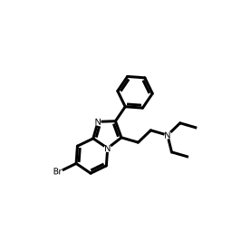 CCN(CC)CCc1c(-c2ccccc2)nc2cc(Br)ccn12